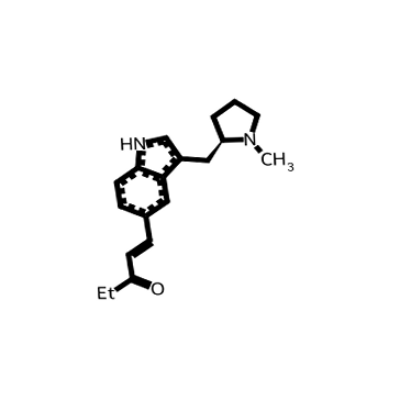 CCC(=O)C=Cc1ccc2[nH]cc(C[C@H]3CCCN3C)c2c1